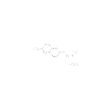 Nc1ccc2cc(CN3CCNCC3=O)ccc2n1